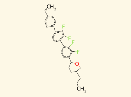 C=Cc1ccc(-c2ccc(-c3ccc(C4CCC(CCC)CO4)c(F)c3F)c(F)c2F)cc1